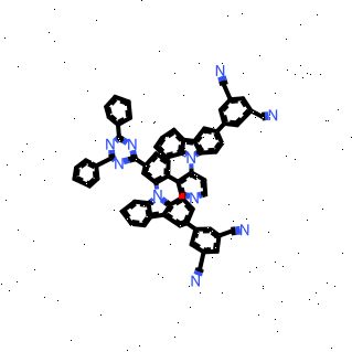 N#Cc1cc(C#N)cc(-c2ccc3c(c2)c2ccccc2n3-c2ccncc2-c2ccc(-c3nc(-c4ccccc4)nc(-c4ccccc4)n3)cc2-n2c3ccccc3c3cc(-c4cc(C#N)cc(C#N)c4)ccc32)c1